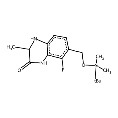 CC1Nc2ccc(CO[Si](C)(C)C(C)(C)C)c(F)c2NC1=O